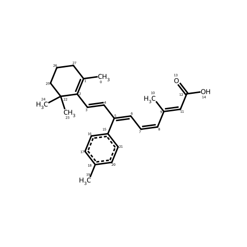 CC1=C(/C=C/C(=C/C=C\C(C)=C\C(=O)O)c2ccc(C)cc2)C(C)(C)CCC1